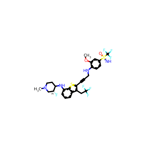 COc1cc(S(=N)(=O)C(F)(F)F)ccc1NCC#Cc1sc2c(NC3CCN(C)C[C@H]3F)cccc2c1CC(F)(F)F